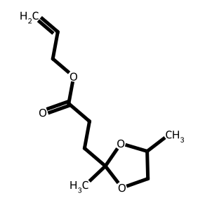 C=CCOC(=O)CCC1(C)OCC(C)O1